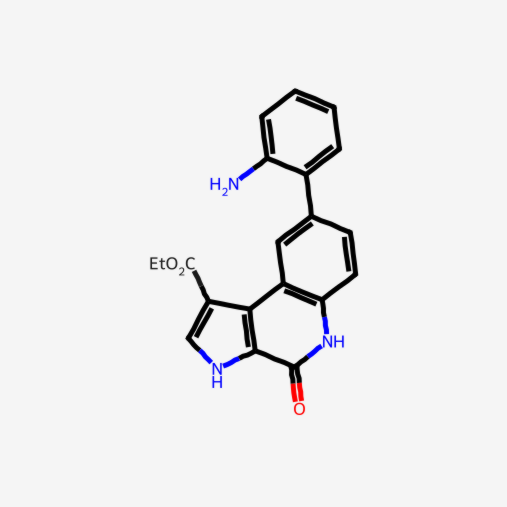 CCOC(=O)c1c[nH]c2c(=O)[nH]c3ccc(-c4ccccc4N)cc3c12